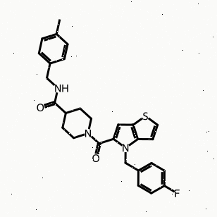 Cc1ccc(CNC(=O)C2CCN(C(=O)c3cc4sccc4n3Cc3ccc(F)cc3)CC2)cc1